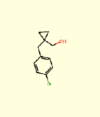 OCC1(Cc2ccc(Br)cc2)CC1